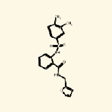 Cc1ccc(S(=O)(=O)Nc2ccccc2C(=O)NCc2ccco2)cc1C